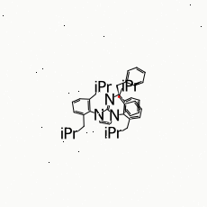 CC(C)Cc1cccc(CC(C)C)c1-n1ccn(-c2c(CC(C)C)cccc2CC(C)C)c1=N[C@@H](Cc1ccccc1)c1ccccc1